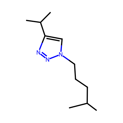 CC(C)CCCn1cc(C(C)C)nn1